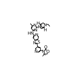 CCN1C[C@@H]2C[C@H]1CN2c1nc(C)cc(Nc2cc3nc(-c4cncc(N5C(=O)OC[C@H]5C)c4)sc3cn2)n1